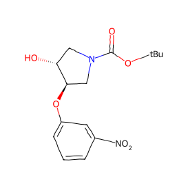 CC(C)(C)OC(=O)N1C[C@@H](O)[C@H](Oc2cccc([N+](=O)[O-])c2)C1